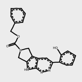 O=C(OCc1ccccc1)N1Cc2[nH]c3nnc(-c4ccccc4O)cc3c2C1